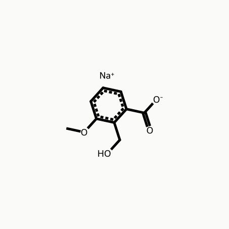 COc1cccc(C(=O)[O-])c1CO.[Na+]